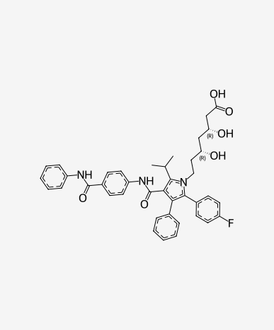 CC(C)c1c(C(=O)Nc2ccc(C(=O)Nc3ccccc3)cc2)c(-c2ccccc2)c(-c2ccc(F)cc2)n1CC[C@@H](O)C[C@@H](O)CC(=O)O